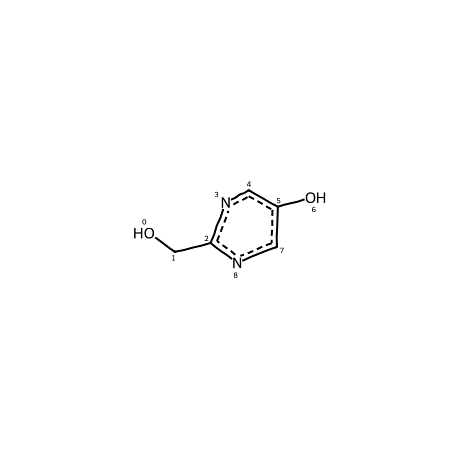 OCc1ncc(O)cn1